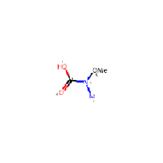 CON([N])C(=O)O